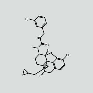 CN(C(=O)NCc1cccc(C(F)(F)F)c1)[C@@H]1CC[C@@]2(O)[C@H]3Cc4ccc(O)c5c4[C@@]2(CCN3CC2CC2)[C@H]1O5